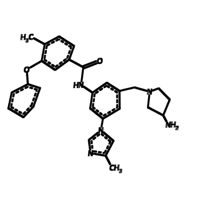 Cc1cn(-c2cc(CN3CCC(N)C3)cc(NC(=O)c3ccc(C)c(Oc4ccccc4)c3)c2)cn1